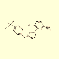 Nc1cc(-c2cnn(Cc3ccc(C(F)(F)F)cc3)c2)c(Cl)cn1